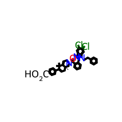 CC1(C)C(c2ccc(C(=O)O)cc2)=CC[C@]2(C)CN(C(=O)c3ccccc3-c3nc4cc(Cl)c(Cl)cc4n3CCc3ccccc3)CC=C12